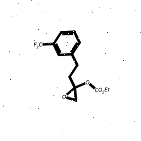 CCOC(=O)OC1(CCc2cccc(C(F)(F)F)c2)CO1